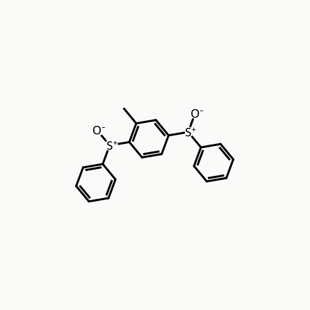 Cc1cc([S+]([O-])c2ccccc2)ccc1[S+]([O-])c1ccccc1